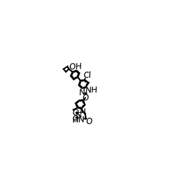 Cc1ccc(Oc2nc3cc(-c4ccc(C5(O)CCC5)cc4)c(Cl)cc3[nH]2)cc1N1CC(=O)NS1(=O)=O